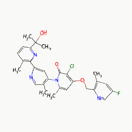 Cc1cnc(-c2nc(C(C)(C)O)ccc2C)cc1-n1c(C)cc(OCc2ncc(F)cc2C)c(Cl)c1=O